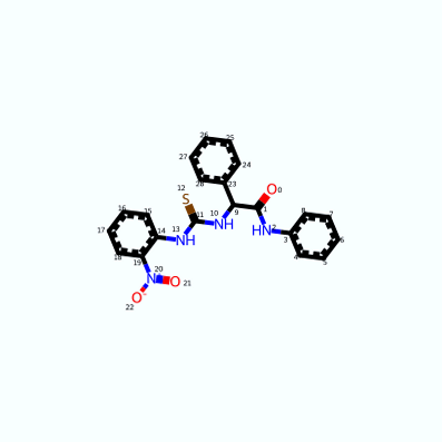 O=C(Nc1ccccc1)C(NC(=S)Nc1ccccc1[N+](=O)[O-])c1ccccc1